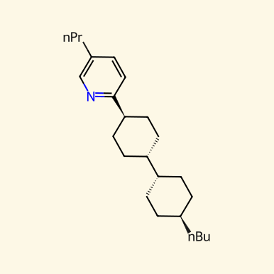 CCCC[C@H]1CC[C@H]([C@H]2CC[C@H](c3ccc(CCC)cn3)CC2)CC1